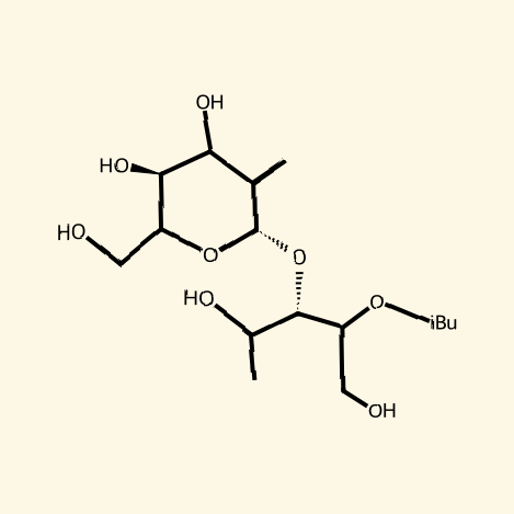 CCC(C)OC(CO)[C@@H](O[C@@H]1OC(CO)[C@@H](O)C(O)C1C)C(C)O